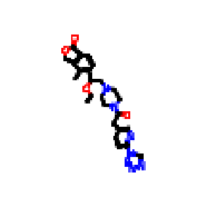 CCOC(CN1CCN(C(=O)Cc2ccc(-n3cnnn3)nc2)CC1)c1ccc2c(c1C)COC2=O